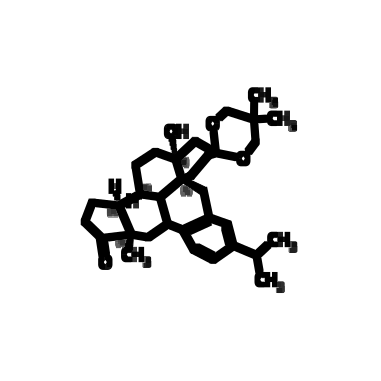 CC(C)c1ccc2c(c1)C[C@]13CCC4(C[C@]1(O)CC[C@@H]1C3C2C[C@]2(C)C(=O)CC[C@@H]12)OCC(C)(C)CO4